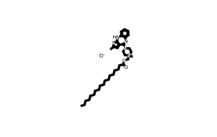 CCCCCCCCCCCCCCCCCC(=O)OC[N+]1(C)CCN(C2=Nc3ccccc3Nc3sc(C)cc32)CC1.[Cl-]